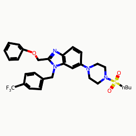 CCCCS(=O)(=O)N1CCN(c2ccc3nc(COc4ccccc4)n(Cc4ccc(C(F)(F)F)cc4)c3c2)CC1